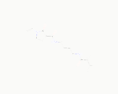 C=CN1CCC(C(=O)NCCCCNC(=O)/C(C)=C\C)C1=O